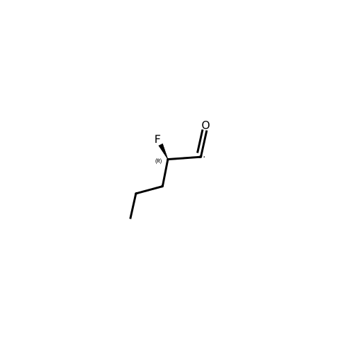 CCC[C@@H](F)[C]=O